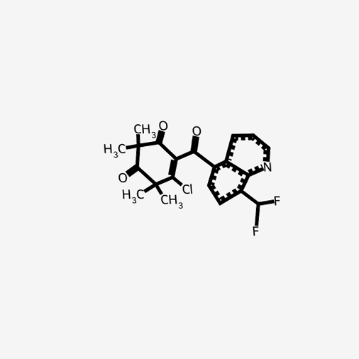 CC1(C)C(=O)C(C(=O)c2ccc(C(F)F)c3ncccc23)=C(Cl)C(C)(C)C1=O